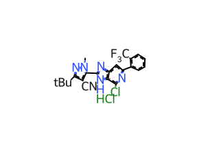 Cl.Cn1nc(C(C)(C)C)c(C#N)c1-c1nc2cc(-c3ccccc3C(F)(F)F)nc(Cl)c2[nH]1